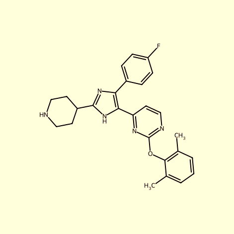 Cc1cccc(C)c1Oc1nccc(-c2[nH]c(C3CCNCC3)nc2-c2ccc(F)cc2)n1